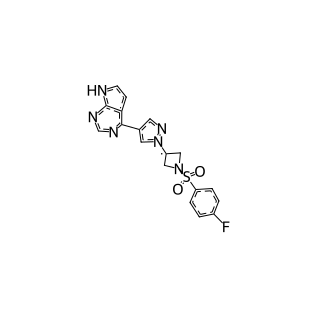 O=S(=O)(c1ccc(F)cc1)N1C[C](n2cc(-c3ncnc4[nH]ccc34)cn2)C1